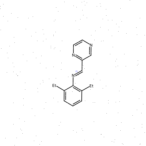 CCc1cccc(CC)c1/N=C/c1cnccn1